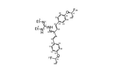 CCN=C(NCC)NN=C(C=Cc1ccc(OC(F)F)cc1)C=Cc1ccc(OC(F)F)cc1